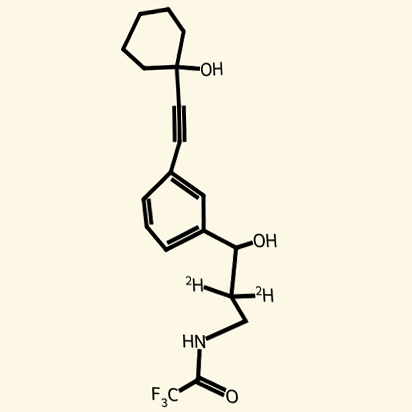 [2H]C([2H])(CNC(=O)C(F)(F)F)C(O)c1cccc(C#CC2(O)CCCCC2)c1